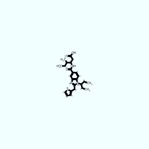 CCC(C)C(CC(=O)O)NC(=O)c1ccc2c(c1)nc(Cc1cccs1)n2C(CC)CC